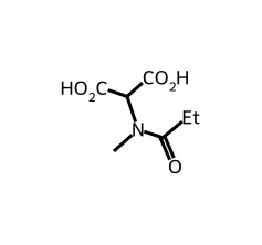 CCC(=O)N(C)C(C(=O)O)C(=O)O